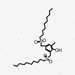 CCCCCCCCCCS(=O)(=O)Cc1cc(C)c(O)c(CS(=O)(=O)CCCCCCCCCC)c1